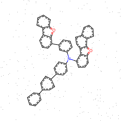 c1ccc(-c2ccc(-c3ccc(N(c4cccc(-c5cccc6c5oc5ccccc56)c4)c4cccc5oc6c7ccccc7ccc6c45)cc3)cc2)cc1